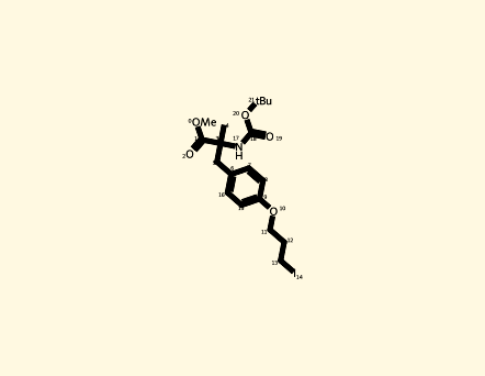 COC(=O)C(C)(Cc1ccc(OCCCI)cc1)NC(=O)OC(C)(C)C